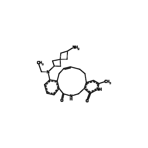 CCN(c1cccc2c1CC=CCCc1cc(C)[nH]c(=O)c1CNC2=O)C1CC2(CC(N)C2)C1